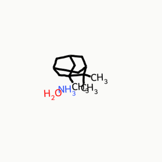 CC12CC3CC(CC(C3)C1(C)C)C2.N.O